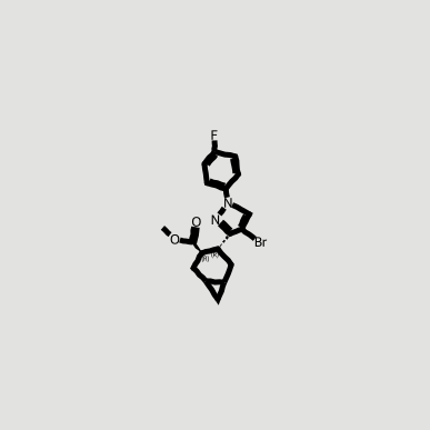 COC(=O)[C@@H]1CC2CC2C[C@H]1c1nn(-c2ccc(F)cc2)cc1Br